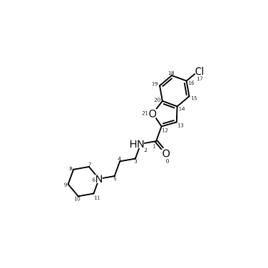 O=C(NCCCN1CCCCC1)c1cc2cc(Cl)ccc2o1